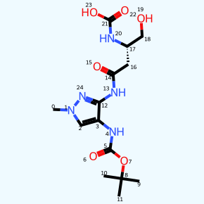 Cn1cc(NC(=O)OC(C)(C)C)c(NC(=O)C[C@@H](CO)NC(=O)O)n1